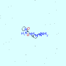 NN=CN1CCC[C@@H](CNC(=O)C[C@H](N)C(=O)N2CCCCCC2)C1